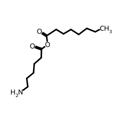 CCCCCCCC(=O)OC(=O)CCCCCN